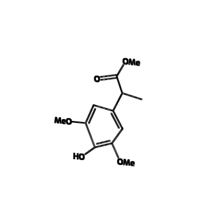 COC(=O)C(C)c1cc(OC)c(O)c(OC)c1